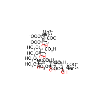 O=C(O)CC(O)(CC(=O)O)C(=O)O.O=C(O)CC(O)(CC(=O)O)C(=O)O.O=C(O)CC(O)(CC(=O)O)C(=O)O.O=C([O-])CC(O)(CC(=O)[O-])C(=O)[O-].O=C([O-])CC(O)(CC(=O)[O-])C(=O)[O-].[Mn+2].[Mn+2].[Mn+2]